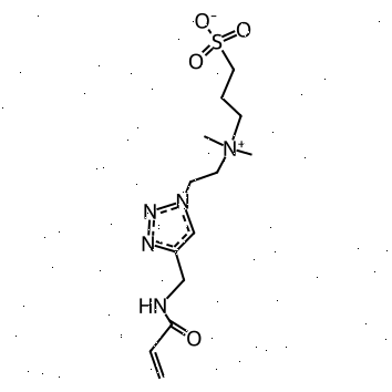 C=CC(=O)NCc1cn(CC[N+](C)(C)CCCS(=O)(=O)[O-])nn1